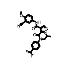 COc1ccc(NC(=O)c2cnn3c2C(=O)N(c2ccc(C(F)F)cc2)CC3C)cc1C#N